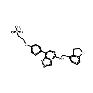 CS(=O)(=O)CCOc1ccc(-c2cnc(NCc3cccc4c3CCO4)n3cnnc23)cc1